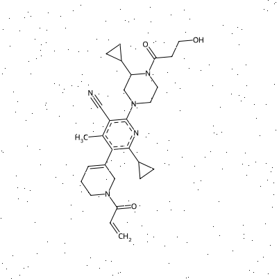 C=CC(=O)N1CCC=C(c2c(C3CC3)nc(N3CCN(C(=O)CCO)C(C4CC4)C3)c(C#N)c2C)C1